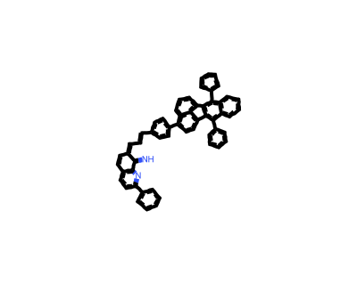 N=C1/C(=C\C=C\c2ccc(-c3ccc4c5c(cccc35)-c3c-4c(-c4ccccc4)c4ccccc4c3-c3ccccc3)cc2)C=Cc2ccc(-c3ccccc3)nc21